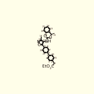 CCOC(=O)Cc1ccc(-c2ccc(-c3onc(C)c3NC(=O)O[C@H](C)c3ccccc3)cc2)cc1